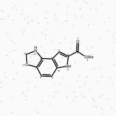 COC(=O)c1cc2c3c(ccc2[nH]1)OCN3